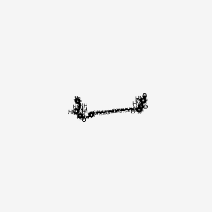 N=C(NC(=N)C1(Nc2cccc(C(=O)NCc3ccc(OCCCCCCOCCOCCOCCCCCC(=O)Nc4cccc5c4CN(C4CCC(=O)NC4=O)C5=O)cc3)c2)CCNCC1)c1ccncc1